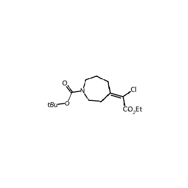 CCOC(=O)C(Cl)=C1CCCN(C(=O)OC(C)(C)C)CC1